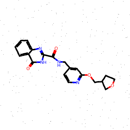 O=C(NCc1ccnc(OCC2CCOC2)c1)c1nc2ccccc2c(=O)[nH]1